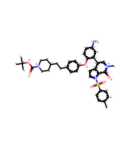 Cc1ccc(S(=O)(=O)n2ccc3c(-c4cc(N)ccc4Oc4ccc(CCC5CCN(C(=O)OC(C)(C)C)CC5)cc4)cn(C)c(=O)c32)cc1